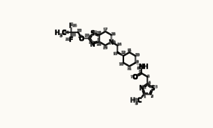 Cc1csc(CC(=O)N[C@H]2CC[C@H](CCN3CCc4sc(OCC(C)(F)F)nc4C3)CC2)n1